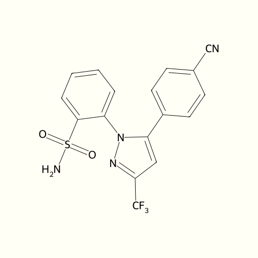 N#Cc1ccc(-c2cc(C(F)(F)F)nn2-c2ccccc2S(N)(=O)=O)cc1